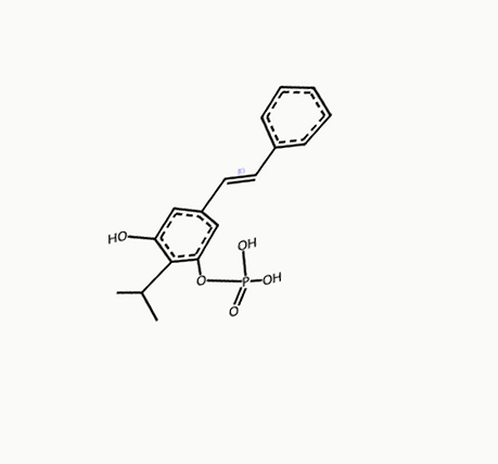 CC(C)c1c(O)cc(/C=C/c2ccccc2)cc1OP(=O)(O)O